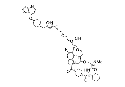 CN[C@@H](C)C(=O)N[C@H](C(=O)N1CCN(C(=O)c2cc3cc(F)c(F)cc3n2CC(=O)N(C)CCOCCOCCOCCOc2cc(CN3CCC(Oc4ccnc5ccsc45)CC3)on2)CC1)C1CCCCC1.Cl